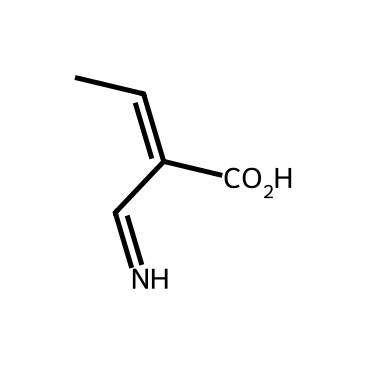 C/C=C(\C=N)C(=O)O